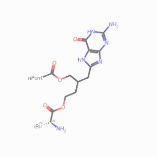 CCCCCC(=O)OCC(CCOC(=O)[C@@H](N)[C@@H](C)CC)Cc1nc2nc(N)[nH]c(=O)c2[nH]1